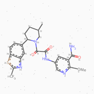 COc1ncc(NC(=O)C(=O)N2CC(C)CCC2c2ccc3sc(C(F)(F)F)nc3c2)cc1C(N)=O